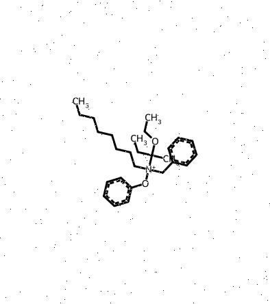 CCCCCCCC[N+](Cc1ccccc1)(Oc1ccccc1)C(C)(CC)OCC